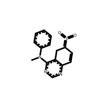 CN(c1ccccc1)c1ncnc2c1CC(=S(=O)=O)C=C2